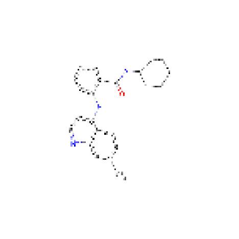 O=C(NC1CCCCC1)c1ccccc1Nc1ccnc2cc(C(F)(F)F)ccc12